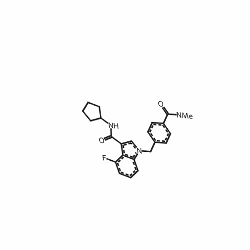 CNC(=O)c1ccc(Cn2cc(C(=O)NC3CCCC3)c3c(F)cccc32)cc1